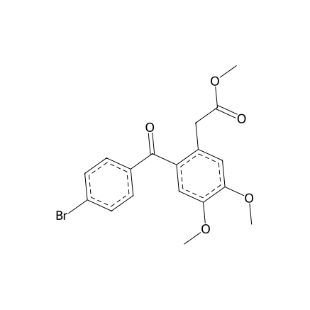 COC(=O)Cc1cc(OC)c(OC)cc1C(=O)c1ccc(Br)cc1